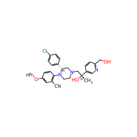 CCCOc1ccc(N2CCN(C[C@@](C)(O)c3ccc(CO)nc3)C[C@H]2c2ccc(Cl)cc2)c(C#N)c1